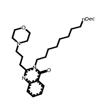 CCCCCCCCCCCCCCCCCCn1c(CCCN2CCOCC2)nc2ccccc2c1=O